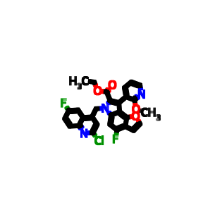 CCOC(=O)c1c(-c2cccnc2OC)c2c3occc3c(F)cc2n1Cc1cc(Cl)nc2ccc(F)cc12